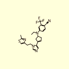 CCN(c1ccc(C#N)c(C(F)(F)F)c1)C1CC=C(c2cncn2CCc2csc(C)n2)C1